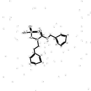 CCCS(=O)(=O)ON(CCc1ccccc1)C(=O)OCc1ccccc1